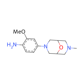 COc1cc(N2CC3CN(C)CC(C2)O3)ccc1N